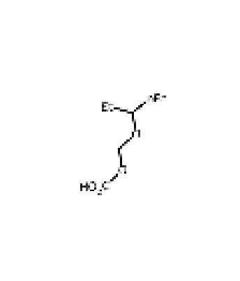 CCCC(CC)OCOC(=O)O